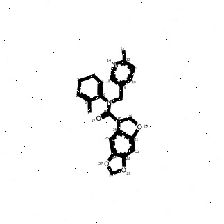 CC1=CCCC=C1N(Cc1ccc(C)nc1)C(=O)C1COc2cc3c(cc21)OCO3